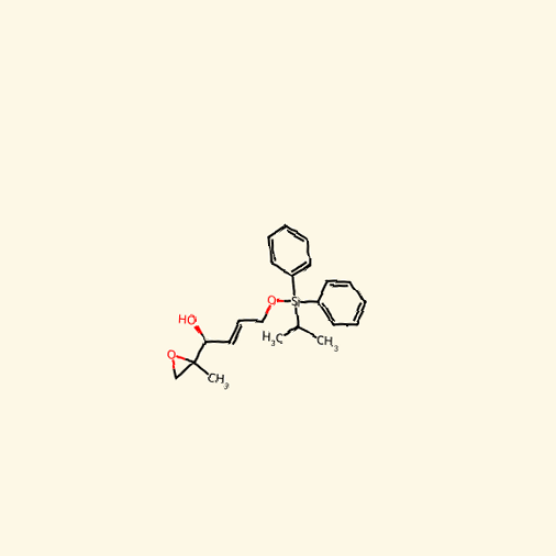 CC(C)[Si](OC/C=C/[C@H](O)C1(C)CO1)(c1ccccc1)c1ccccc1